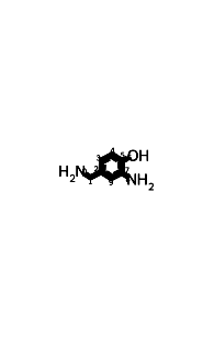 NCc1ccc(O)c(N)c1